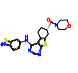 O=C([C@H]1CCc2c(sc3ncnc(Nc4ccc5[nH]sc5c4)c23)C1)N1CCOCC1